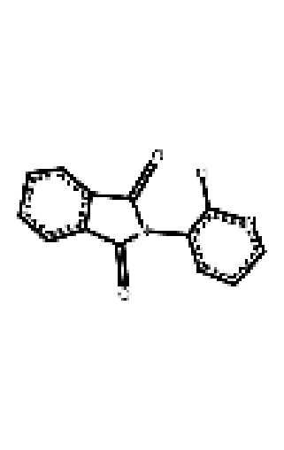 O=C1c2ccccc2C(=O)N1c1cccnc1Cl